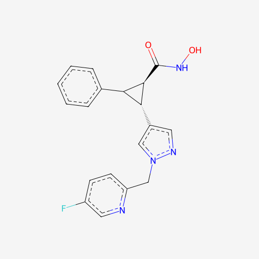 O=C(NO)[C@@H]1C(c2ccccc2)[C@H]1c1cnn(Cc2ccc(F)cn2)c1